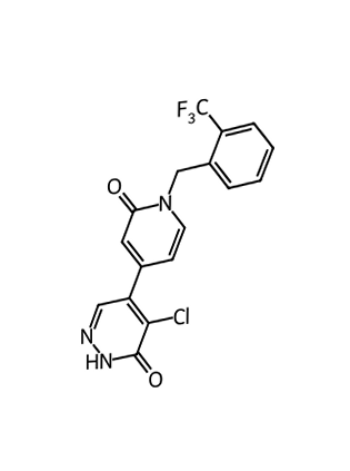 O=c1[nH]ncc(-c2ccn(Cc3ccccc3C(F)(F)F)c(=O)c2)c1Cl